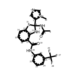 CC(=O)NC1(c2cncn2C)Nc2c(cccc2C(=O)Nc2[c]ccc(C(F)(F)F)c2)S1